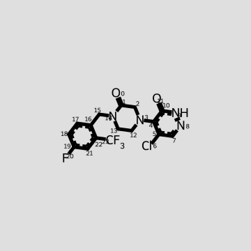 O=C1CN(c2c(Cl)cn[nH]c2=O)CCN1Cc1ccc(F)cc1C(F)(F)F